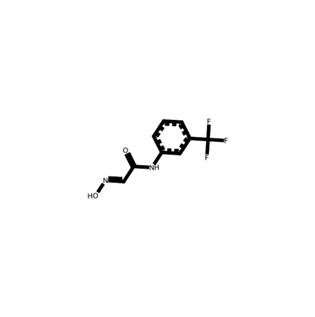 O=C(/C=N/O)Nc1cccc(C(F)(F)F)c1